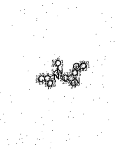 c1ccc(-c2cc(-c3cc4ccccc4c4ccccc34)nc(-c3ccc(-c4cccnc4-c4ccc5oc6ccccc6c5c4)cc3)n2)cc1